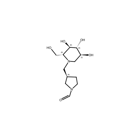 O=CN1CC[C@H](CN2C[C@H](O)[C@@H](O)[C@H](O)[C@H]2CO)C1